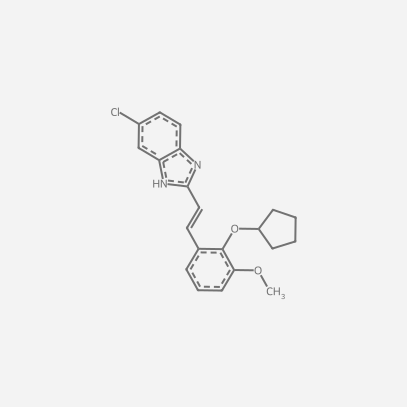 COc1cccc(/C=C/c2nc3ccc(Cl)cc3[nH]2)c1OC1CCCC1